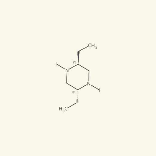 CC[C@@H]1CN(I)[C@@H](CC)CN1I